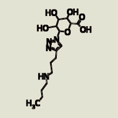 CCCCNCCCc1cn(C2OC(C(=O)O)C(O)C(O)C2O)nn1